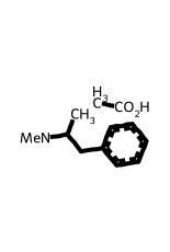 CC(=O)O.CNC(C)Cc1ccccc1